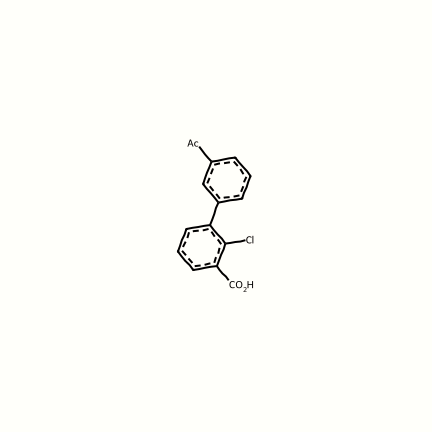 CC(=O)c1cccc(-c2cccc(C(=O)O)c2Cl)c1